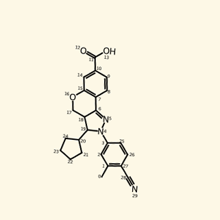 Cc1cc(N2N=C3c4ccc(C(=O)O)cc4OCC3C2C2CCCC2)ccc1C#N